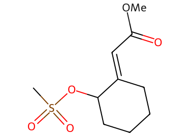 COC(=O)C=C1CCCCC1OS(C)(=O)=O